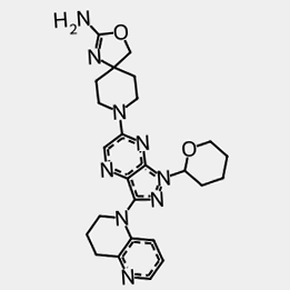 NC1=NC2(CCN(c3cnc4c(N5CCCc6ncccc65)nn(C5CCCCO5)c4n3)CC2)CO1